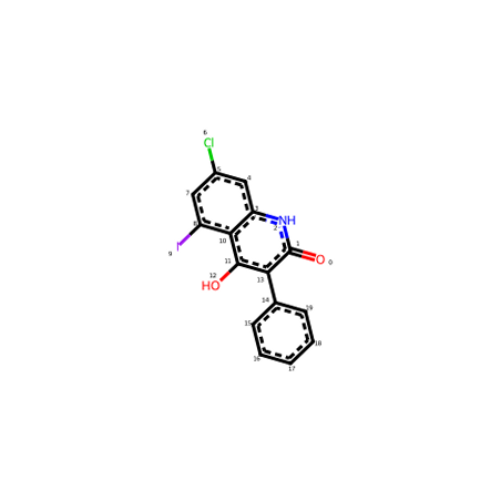 O=c1[nH]c2cc(Cl)cc(I)c2c(O)c1-c1ccccc1